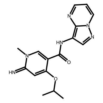 CC(C)Oc1cc(=N)n(C)cc1C(=O)Nc1cnn2cccnc12